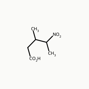 CC(CC(=O)O)C(C)[N+](=O)[O-]